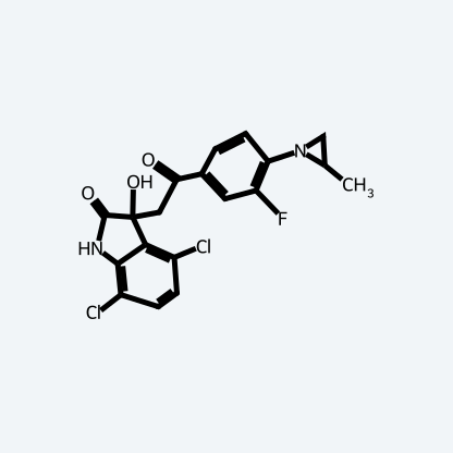 CC1CN1c1ccc(C(=O)CC2(O)C(=O)Nc3c(Cl)ccc(Cl)c32)cc1F